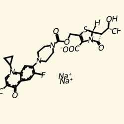 C[C@@H](O)[C@@H]1C(=O)N2C(C(=O)[O-])=C(COC(=O)N3CCN(c4cc5c(cc4F)c(=O)c(C(=O)[O-])cn5C4CC4)CC3)S[C@H]12.[Na+].[Na+]